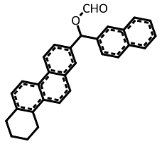 O=COC(c1ccc2ccccc2c1)c1ccc2c(ccc3c4c(ccc32)CCCC4)c1